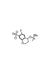 CC(C)(C)[Si](C)(C)OC1CCOc2cc(S(=O)(=O)Cl)c(F)cc21